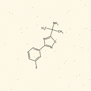 CC(C)(N)c1nc(-c2cccc(F)c2)no1